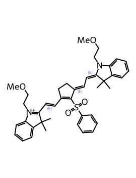 COCCN1/C(=C/C=C2\CCC(/C=C/C3=[N+](CCOC)c4ccccc4C3(C)C)=C2S(=O)(=O)c2ccccc2)C(C)(C)c2ccccc21